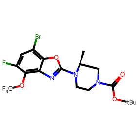 C[C@H]1CN(C(=O)OC(C)(C)C)CCN1c1nc2c(OC(F)(F)F)c(F)cc(Br)c2o1